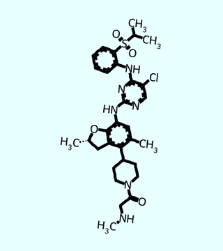 CNCC(=O)N1CCC(c2c(C)cc(Nc3ncc(Cl)c(Nc4ccccc4S(=O)(=O)C(C)C)n3)c3c2C[C@H](C)O3)CC1